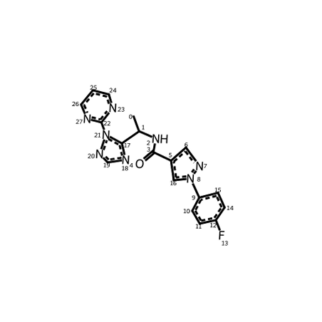 CC(NC(=O)c1cnn(-c2ccc(F)cc2)c1)c1ncnn1-c1ncccn1